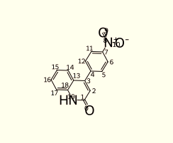 O=c1cc(-c2ccc([N+](=O)[O-])cc2)c2ccccc2[nH]1